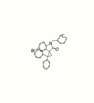 O=C1N(Cc2ccccc2)c2ccc(Br)cc2C12CC2(c1ccccc1)c1ccccc1